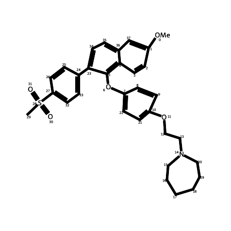 COc1ccc2c(Oc3ccc(OCCN4CCCCCC4)cc3)c(-c3ccc(S(C)(=O)=O)cc3)ccc2c1